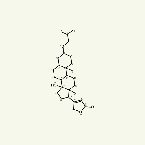 CC(C)CO[C@H]1CCC2(C)C(CCC3C2CCC2(C)C(C4=CC(=O)OC4)CCC32O)C1